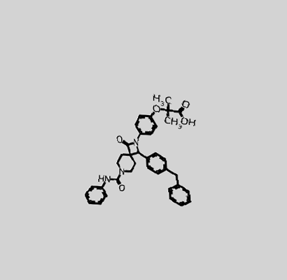 CC(C)(Oc1ccc(N2C(=O)C3(CCN(C(=O)Nc4ccccc4)CC3)C2c2ccc(Cc3ccccc3)cc2)cc1)C(=O)O